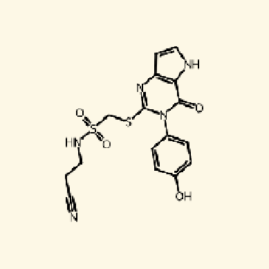 N#CCCNS(=O)(=O)CSc1nc2cc[nH]c2c(=O)n1-c1ccc(O)cc1